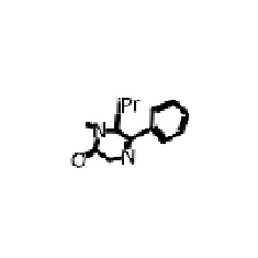 CC(C)C1C(c2ccccc2)=NCC(=O)N1C